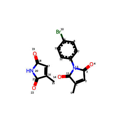 CC1=CC(=O)N(c2ccc(Br)cc2)C1=O.CC1=CC(=O)NC1=O